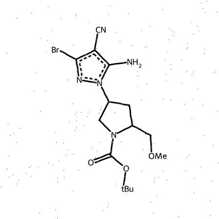 COCC1CC(n2nc(Br)c(C#N)c2N)CN1C(=O)OC(C)(C)C